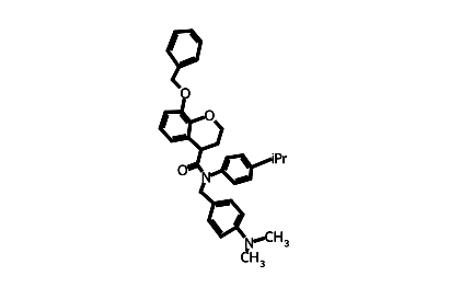 CC(C)c1ccc(N(Cc2ccc(N(C)C)cc2)C(=O)C2CCOc3c(OCc4ccccc4)cccc32)cc1